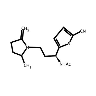 C=C1CCC(C)N1CC[C@H](NC(C)=O)c1ccc(C#N)s1